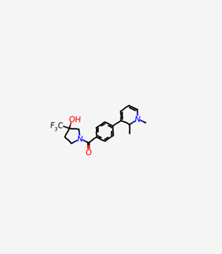 CC1C(c2ccc(C(=O)N3CCC(O)(C(F)(F)F)C3)cc2)=CC=CN1C